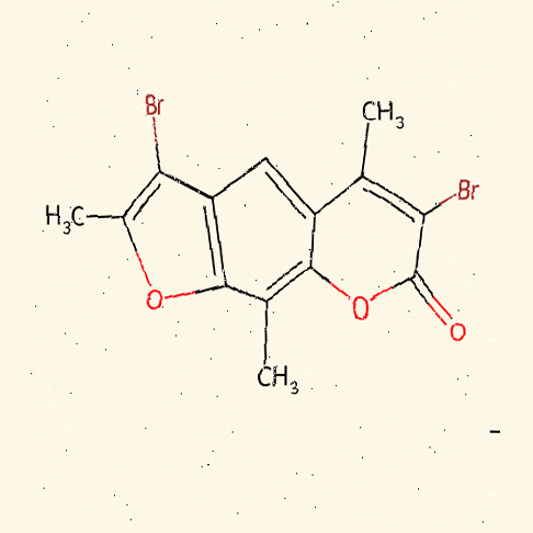 Cc1oc2c(C)c3oc(=O)c(Br)c(C)c3cc2c1Br